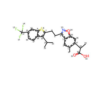 Cc1cc2c(CCc3sc4cc(C(F)(F)F)ccc4c3C(C)C)noc2cc1C(C)C(=O)O